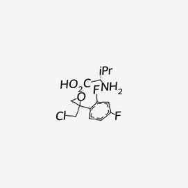 CC(C)[C@H](N)C(=O)O.Fc1ccc(C2(CCl)CO2)c(F)c1